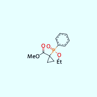 CCOP(=O)(c1ccccc1)C1(C(=O)OC)CC1